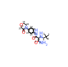 CC(C)(C)CNC(C(N)=O)C(=O)Nc1ccc(N2CCOCC2=O)cc1